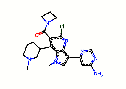 CN1CCCC(c2c(C(=O)N3CCC3)c(Cl)nc3c(-c4cc(N)ncn4)cn(C)c23)C1